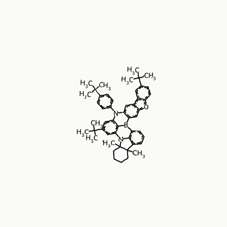 CC(C)(C)c1ccc(N2c3cc4c(cc3B3c5cccc6c5N(c5cc(C(C)(C)C)cc2c53)C2(C)CCCCC62C)oc2ccc(C(C)(C)C)cc24)cc1